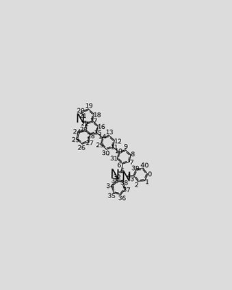 c1ccc(-n2c(-c3cccc(-c4ccc(-c5cc6cccnc6c6ccccc56)cc4)c3)nc3ccccc32)cc1